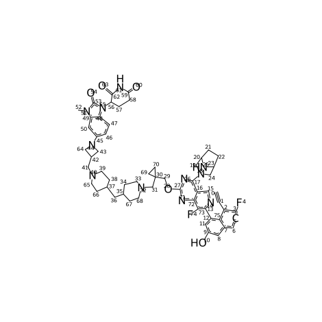 C#Cc1c(F)ccc2cc(O)cc(-c3ncc4c(N5CC6CCC(C5)N6)nc(OCC5(CN6CCC(CC7CCN(CC8CN(c9ccc%10c(c9)n(C)c(=O)n%10C9CCC(=O)NC9=O)C8)CC7)CC6)CC5)nc4c3F)c12